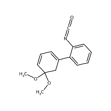 COC1(OC)C=CC=C(c2ccccc2N=C=O)C1